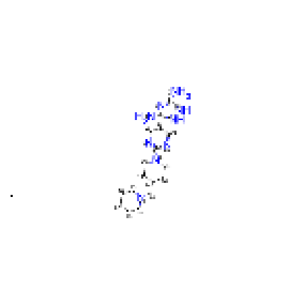 NC1=NC(N)(c2cnc(N3CCC(CN4CCCCC4)CC3)nc2)NN1